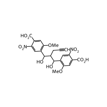 C#CCC(C(O)c1cc([N+](=O)[O-])c(C(=O)O)cc1OC)C(O)c1cc([N+](=O)[O-])c(C(=O)O)cc1OC